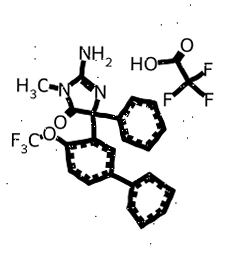 CN1C(=O)C(c2ccccc2)(c2cc(-c3ccccc3)ccc2OC(F)(F)F)N=C1N.O=C(O)C(F)(F)F